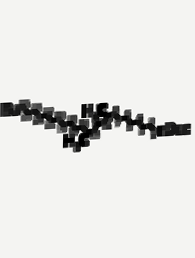 CCCCCCCCCCCCCCCCCCC(C)CCCC(C)CCCCCCCCCCCC(C)CC